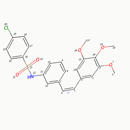 COc1cc(/C=C\c2cccc(NS(=O)(=O)c3ccc(Cl)cc3)c2)cc(OC)c1OC